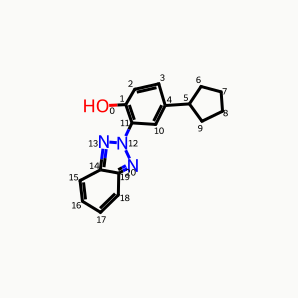 Oc1ccc(C2CCCC2)cc1-n1nc2ccccc2n1